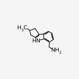 CC1Cc2[nH]c3c(CN)cccc3c2C1